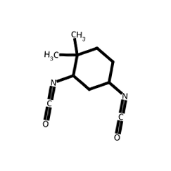 CC1(C)CCC(N=C=O)CC1N=C=O